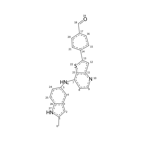 Cc1cc2cc(Nc3ccnc4cc(-c5ccc(C=O)cc5)sc34)ccc2[nH]1